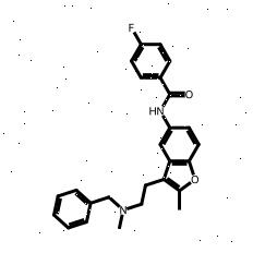 Cc1oc2ccc(NC(=O)c3ccc(F)cc3)cc2c1CCN(C)Cc1ccccc1